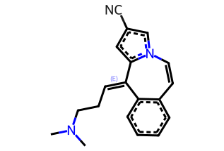 CN(C)CC/C=C1\c2ccccc2C=Cn2cc(C#N)cc21